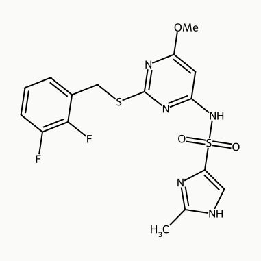 COc1cc(NS(=O)(=O)c2c[nH]c(C)n2)nc(SCc2cccc(F)c2F)n1